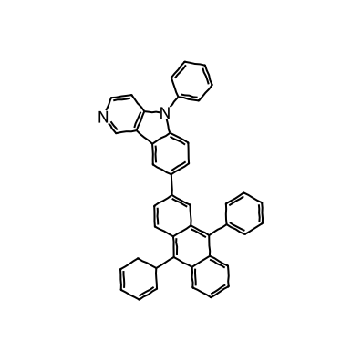 C1=CCC(c2c3ccccc3c(-c3ccccc3)c3cc(-c4ccc5c(c4)c4cnccc4n5-c4ccccc4)ccc23)C=C1